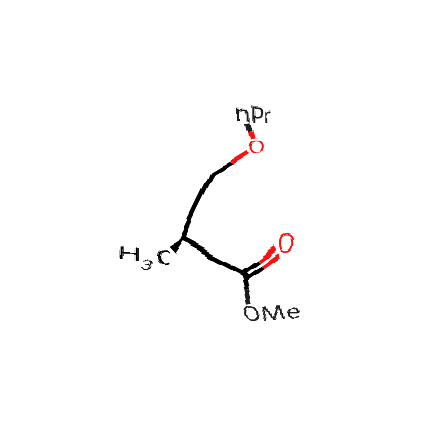 CCCOC[C@H](C)C(=O)OC